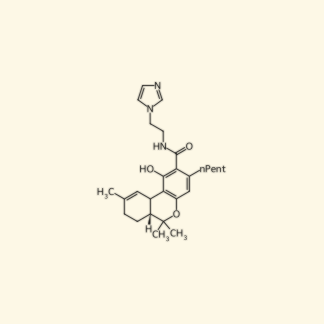 CCCCCc1cc2c(c(O)c1C(=O)NCCn1ccnc1)C1C=C(C)CC[C@H]1C(C)(C)O2